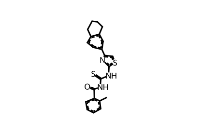 Cc1ccccc1C(=O)NC(=S)Nc1nc(-c2ccc3c(c2)CCCC3)cs1